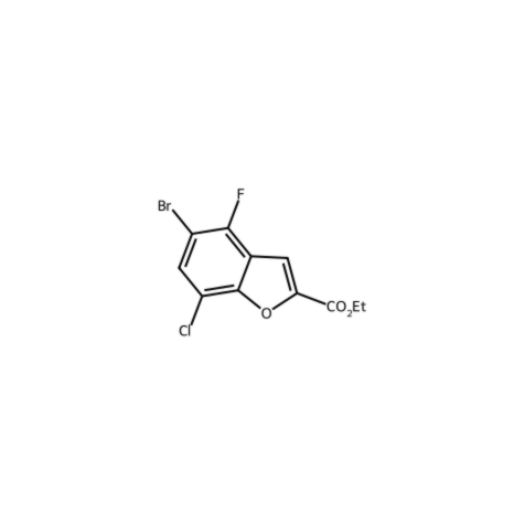 CCOC(=O)c1cc2c(F)c(Br)cc(Cl)c2o1